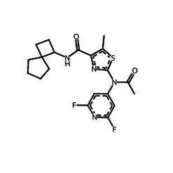 CC(=O)N(c1cc(F)nc(F)c1)c1nc(C(=O)NC2CCC23CCCC3)c(C)s1